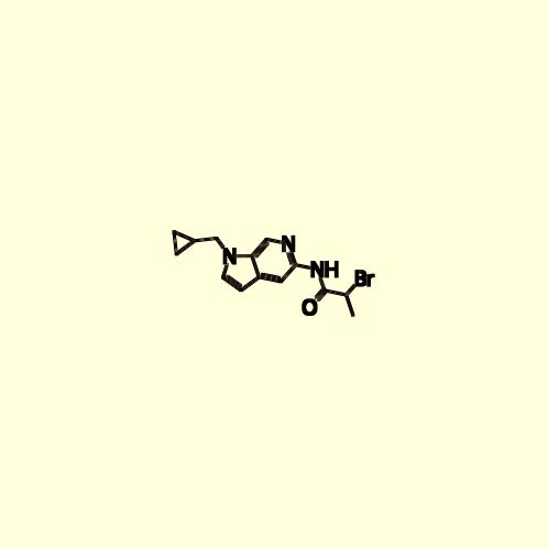 CC(Br)C(=O)Nc1cc2ccn(CC3CC3)c2cn1